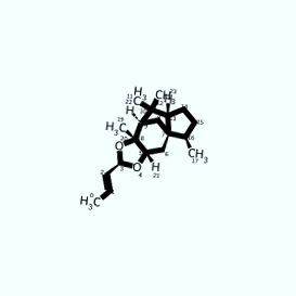 C/C=C/[C@@H]1O[C@H]2C[C@@]34C[C@H](C(C)(C)[C@@H]3CC[C@H]4C)[C@@]2(C)O1